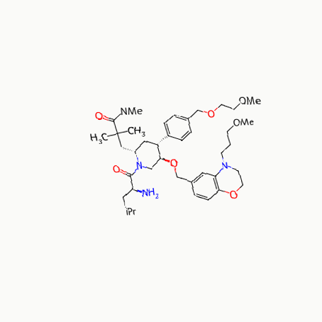 CNC(=O)C(C)(C)C[C@@H]1C[C@H](c2ccc(COCCOC)cc2)[C@@H](OCc2ccc3c(c2)N(CCCOC)CCO3)CN1C(=O)[C@@H](N)CC(C)C